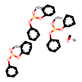 CCCCCCCCCCOP(Oc1ccccc1)Oc1ccccc1.CCCCCCCCCCOP(Oc1ccccc1)Oc1ccccc1.CCCCCCCCCCOP(Oc1ccccc1)Oc1ccccc1.[C]=O.[Ni]